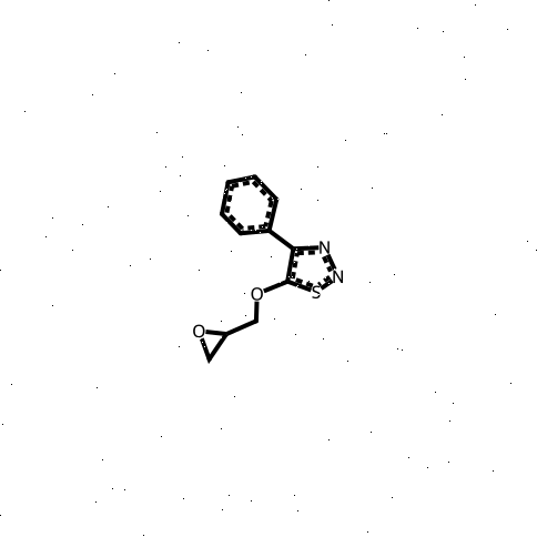 c1ccc(-c2nnsc2OCC2CO2)cc1